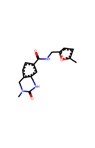 Cc1ccc(CNC(=O)c2ccc3c(c2)NC(=O)N(C)C3)o1